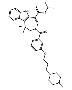 CC(C)OC(=O)C1=CN(C(=O)c2cccc(OCCCN3CCN(C)CC3)c2)CC(C)(C)c2c1[nH]c1ccccc21